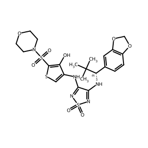 CC(C)(C)[C@@H](NC1=NS(=O)(=O)N=C1Nc1csc(S(=O)(=O)N2CCOCC2)c1O)c1ccc2c(c1)OCO2